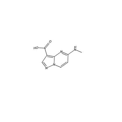 CNc1ccn2ncc(C(=O)O)c2n1